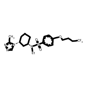 CCN([C@H]1CCC[C@@H](n2cnnc2C)C1)S(=O)(=O)c1ccc(OCCCC(F)(F)F)cc1